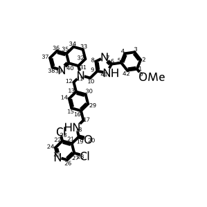 COc1cccc(-c2ncc(CN(Cc3ccc(CNC(=O)c4c(Cl)cncc4Cl)cc3)C3CCCc4cccnc43)[nH]2)c1